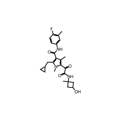 Cc1cc(NC(=O)c2c(C)c(C(=O)C(=O)NC3(C)CC(O)C3)n(C)c2CC2CC2)ccc1F